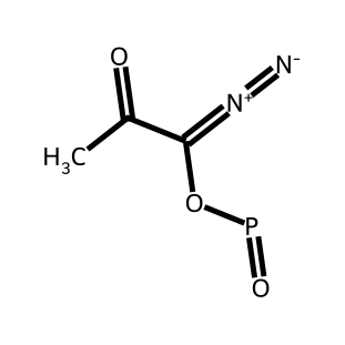 CC(=O)C(=[N+]=[N-])OP=O